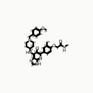 CNC(=O)COc1ccc(-c2nc3[nH]cnc3c(NC3CCN(Cc4ccc(OC)cc4)CC3)c2Cl)cc1C